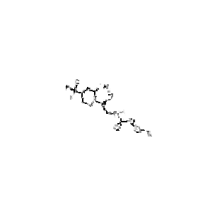 COC(=O)NCC(=O)N1CCC(C(F)(F)F)CC1C